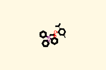 CC(C)[C@@H]1CC[C@@H](C)C[C@H]1OC(=O)C[PH](c1ccccc1)(c1ccccc1)c1ccccc1